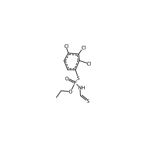 CCOP(=O)(NC=S)Sc1ccc(Cl)c(Cl)c1Cl